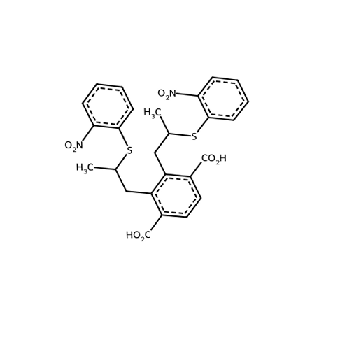 CC(Cc1c(C(=O)O)ccc(C(=O)O)c1CC(C)Sc1ccccc1[N+](=O)[O-])Sc1ccccc1[N+](=O)[O-]